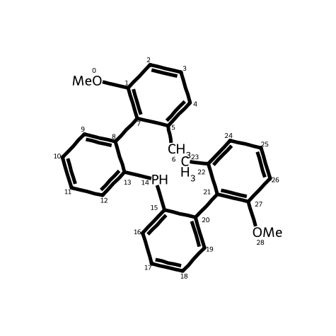 COc1cccc(C)c1-c1ccccc1Pc1ccccc1-c1c(C)cccc1OC